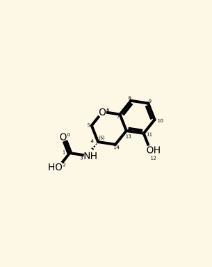 O=C(O)N[C@@H]1COc2cccc(O)c2C1